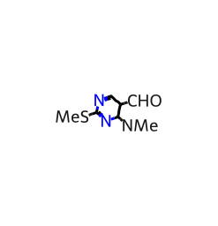 CNC1N=C(SC)N=CC1C=O